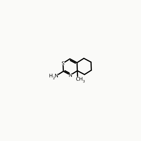 CC12CCCCC1=CSC(N)=N2